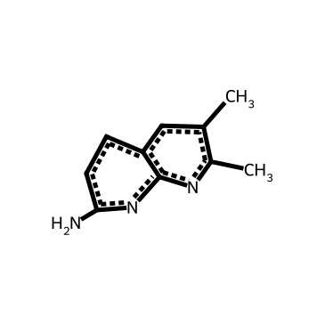 Cc1cc2ccc(N)nc2nc1C